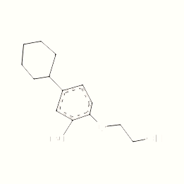 CCC(C)c1cc(C2CCCCC2)ccc1OCCO